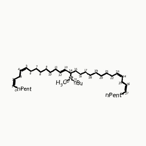 CCCCC/C=C\C/C=C\CCCCCC/C=C/C(CCCCCCCC/C=C\C/C=C\CCCCC)N(C)CCCC